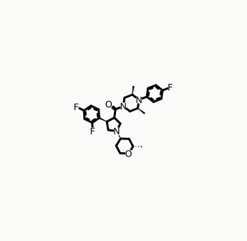 C[C@@H]1CN(C(=O)C2CN([C@H]3CCO[C@@H](C)C3)C[C@H]2c2ccc(F)cc2F)C[C@H](C)N1c1ccc(F)cc1